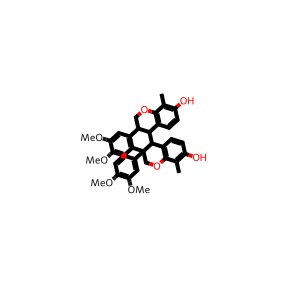 COc1ccc(C23COc4c(ccc(O)c4C)C2C2c4ccc(O)c(C)c4OCC2c2cc(OC)c(OC)cc23)cc1OC